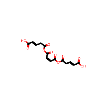 O=C(O)/C=C/CC(=O)OC(=O)/C=C\C(=O)OC(=O)C/C=C/C(=O)O